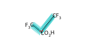 O=C(O)C(F)(C(F)(F)C(F)(F)C(F)(F)C(F)(F)C(F)(F)C(F)(F)C(F)(F)C(F)(F)F)C(F)(F)C(F)(F)C(F)(F)C(F)(F)C(F)(F)C(F)(F)C(F)(F)C(F)(F)C(F)(F)C(F)(F)C(F)(F)C(F)(F)C(F)(F)C(F)(F)F